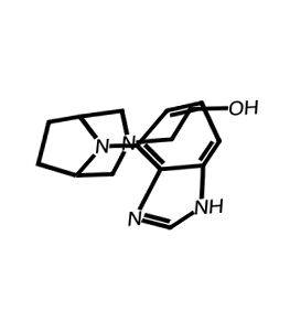 OCCN1CC2CCC(C1)N2c1cccc2[nH]cnc12